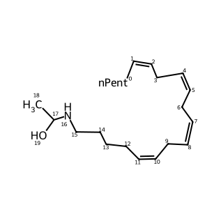 CCCCC/C=C\C/C=C\C/C=C\C/C=C\CCCCNC(C)O